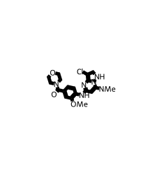 CNC1=CC(Nc2ccc(C(=O)N3CCOCC3)cc2OC)=NC2=C(Cl)CNN12